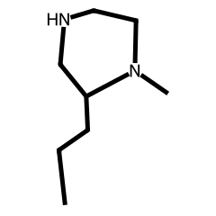 CCCC1CNCCN1C